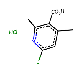 Cc1cc(F)nc(C)c1C(=O)O.Cl